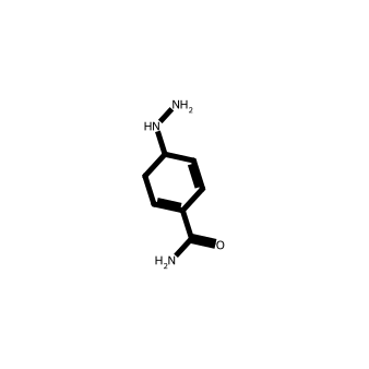 NNC1C=CC(C(N)=O)=CC1